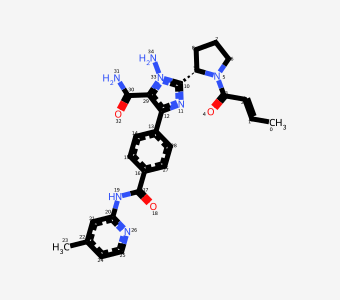 C/C=C/C(=O)N1CCC[C@H]1c1nc(-c2ccc(C(=O)Nc3cc(C)ccn3)cc2)c(C(N)=O)n1N